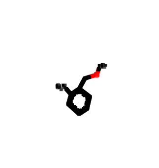 CCCOCc1ccccc1[N+](=O)[O-]